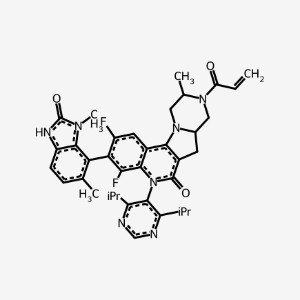 C=CC(=O)N1CC2Cc3c(c4cc(F)c(-c5c(C)ccc6[nH]c(=O)n(C)c56)c(F)c4n(-c4c(C(C)C)ncnc4C(C)C)c3=O)N2CC1C